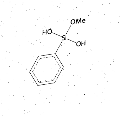 CO[Si](O)(O)c1ccccc1